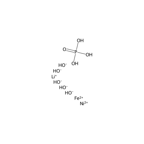 O=P(O)(O)O.[Fe+2].[Li+].[Ni+2].[OH-].[OH-].[OH-].[OH-].[OH-]